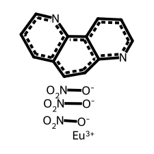 O=[N+]([O-])[O-].O=[N+]([O-])[O-].O=[N+]([O-])[O-].[Eu+3].c1cnc2c(c1)ccc1ncccc12